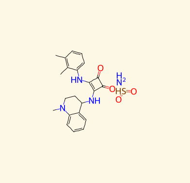 Cc1cccc(Nc2c(NC3CCN(C)c4ccccc43)c(=O)c2=O)c1C.N[SH](=O)=O